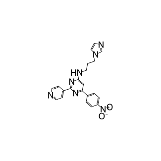 O=[N+]([O-])c1ccc(-c2cc(NCCCn3ccnc3)nc(-c3ccncc3)n2)cc1